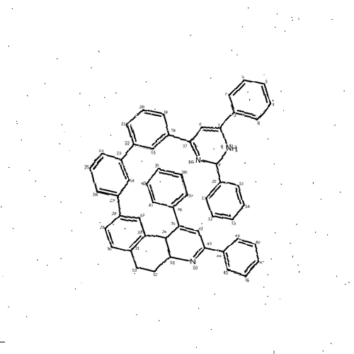 C1=C(c2ccccc2)NC(c2ccccc2)N=C1c1cccc(-c2cccc(-c3ccc4c(c3)C3C(c5ccccc5)=CC(c5ccccc5)=NC3CC4)c2)c1